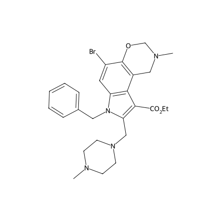 CCOC(=O)c1c(CN2CCN(C)CC2)n(Cc2ccccc2)c2cc(Br)c3c(c12)CN(C)CO3